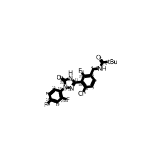 CC(C)(C)C(=O)NCc1ccc(Cl)c(-c2nn(-c3ccc(F)cc3F)c(=O)[nH]2)c1F